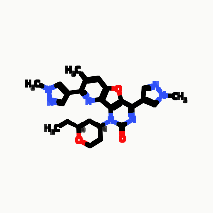 CC[C@H]1C[C@@H](n2c(=O)nc(-c3cnn(C)c3)c3oc4cc(C)c(-c5cnn(C)c5)nc4c32)CCO1